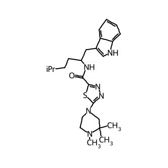 CC(C)CCC(Cc1c[nH]c2ccccc12)NC(=O)c1nnc(N2CCN(C)C(C)(C)C2)s1